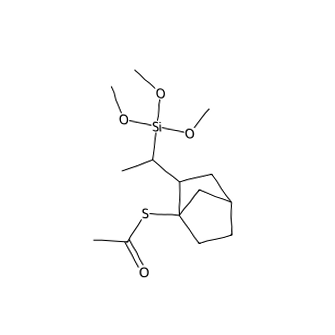 CO[Si](OC)(OC)C(C)C1CC2CCC1(SC(C)=O)C2